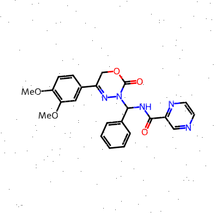 COc1ccc(C2=NN(C(NC(=O)c3cnccn3)c3ccccc3)C(=O)OC2)cc1OC